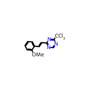 COc1ccccc1C=Cc1ncnc(C(Cl)(Cl)Cl)n1